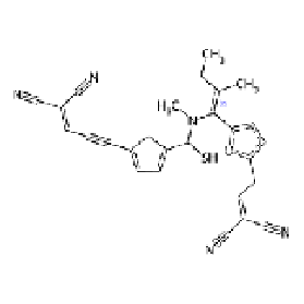 CC/C(C)=C(/c1ccc(CC=C(C#N)C#N)o1)N(C)C(S)C1=CC=C(C#CC=C(C#N)C#N)C1